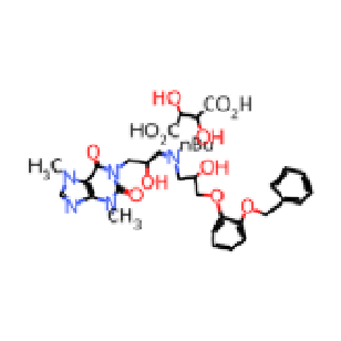 CCCCN(CC(O)COc1ccccc1OCc1ccccc1)CC(O)Cn1c(=O)c2c(ncn2C)n(C)c1=O.O=C(O)C(O)C(O)C(=O)O